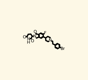 O=C1CCC(N2Cc3cc(C4CCN(CCc5ccc(Br)cc5)CC4)c(F)cc3C2=O)C(=O)N1